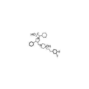 O=C(O)C(C1CCCCC1)N1CC(CN2CCC(O)(CCCc3ccc(F)c(F)c3)CC2)C(c2ccccc2)C1